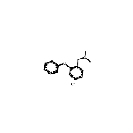 C[S+](C)Cc1ccccc1Oc1ccccc1.[Cl-]